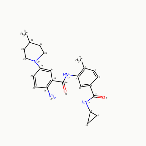 Cc1ccc(C(=O)NC2CC2)cc1NC(=O)c1cc(N2CCC(C)CC2)ccc1N